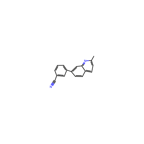 Cc1ccc2ccc(-c3cccc(C#N)c3)cc2n1